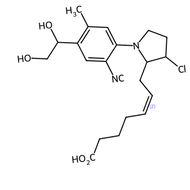 [C-]#[N+]c1cc(C(O)CO)c(C)cc1N1CCC(Cl)C1C/C=C\CCCC(=O)O